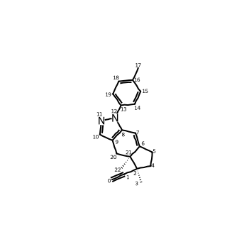 C#C[C@]1(C)CCC2=Cc3c(cnn3-c3ccc(C)cc3)C[C@@]21C